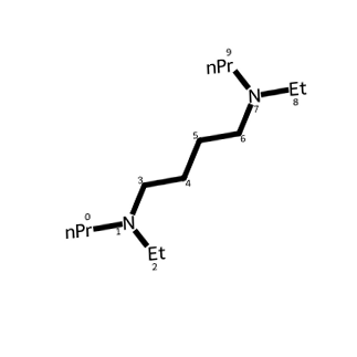 CCCN(CC)CCCCN(CC)CCC